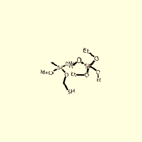 CCO[Si](OCC)(OCC)OCC.CO[Si](C)(OC)OCS